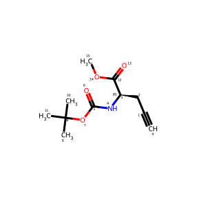 C#CC[C@@H](NC(=O)OC(C)(C)C)C(=O)OC